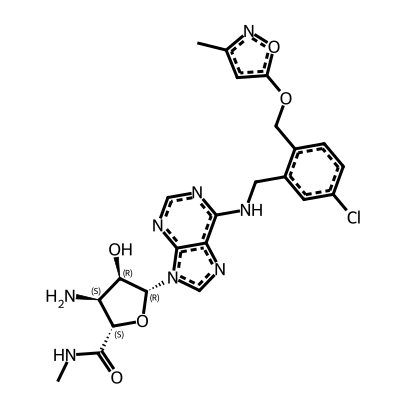 CNC(=O)[C@H]1O[C@@H](n2cnc3c(NCc4cc(Cl)ccc4COc4cc(C)no4)ncnc32)[C@H](O)[C@@H]1N